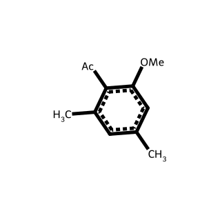 COc1cc(C)cc(C)c1C(C)=O